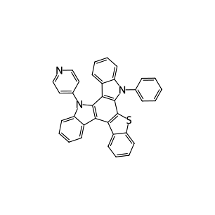 c1ccc(-n2c3ccccc3c3c2c2sc4ccccc4c2c2c4ccccc4n(-c4ccncc4)c23)cc1